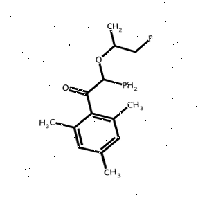 [CH2]C(CF)OC(P)C(=O)c1c(C)cc(C)cc1C